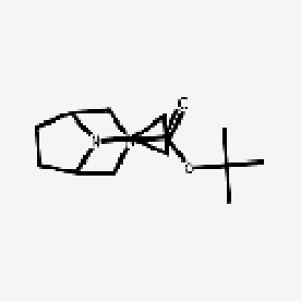 CC(C)(C)OC(=O)N1CC2CCC(C1)N2C1CC1